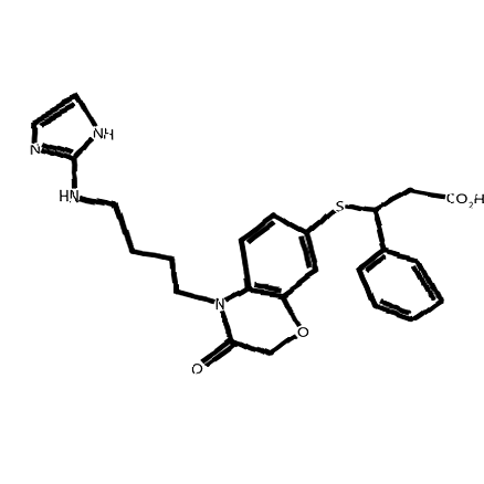 O=C(O)CC(Sc1ccc2c(c1)OCC(=O)N2CCCCNc1ncc[nH]1)c1ccccc1